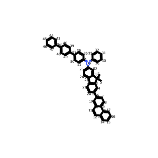 CC1(C)c2cc(-c3ccc4c(ccc5ccccc54)c3)ccc2-c2ccc(N(c3ccccc3)c3ccc(-c4ccc(-c5ccccc5)cc4)cc3)cc21